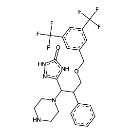 O=c1[nH]nc(C(C(COCc2cc(C(F)(F)F)cc(C(F)(F)F)c2)c2ccccc2)N2CCNCC2)[nH]1